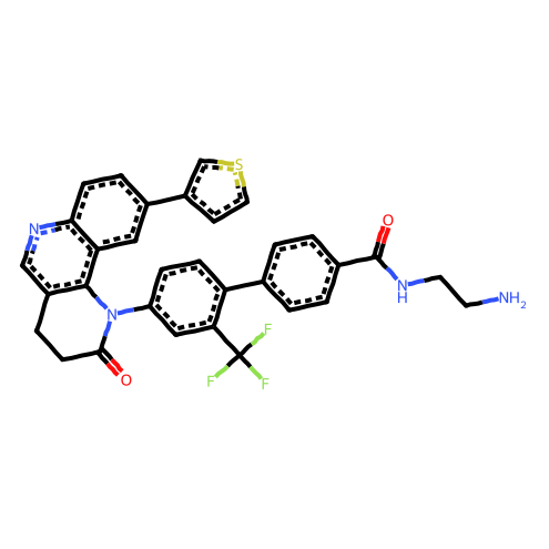 NCCNC(=O)c1ccc(-c2ccc(N3C(=O)CCc4cnc5ccc(-c6ccsc6)cc5c43)cc2C(F)(F)F)cc1